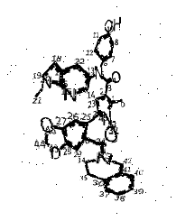 Cc1c(C(=O)N(c2ccc(O)cc2)c2cnc3c(ccn3C)c2)cc(-c2cc3c(cc2C(=O)N2CCc4ccccc4C2)OCO3)n1C